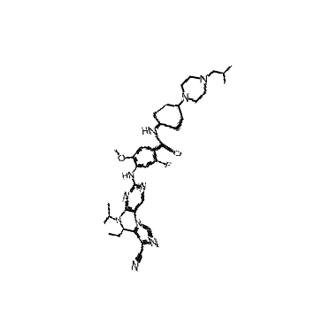 CC[C@@H]1c2c(C#N)ncn2-c2cnc(Nc3cc(F)c(C(=O)NC4CCC(N5CCN(CC(C)C)CC5)CC4)cc3OC)nc2N1C(C)C